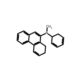 CN(c1cc2ccccc2c2c1CCC=C2)C1C=CC=CC1